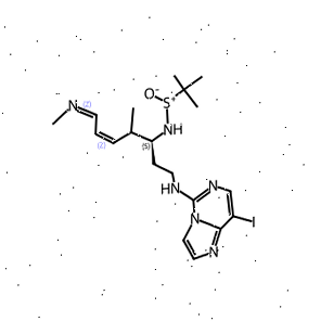 C/N=C\C=C/C(C)[C@H](CCNc1ncc(I)c2nccn12)N[S+]([O-])C(C)(C)C